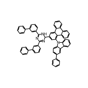 c1ccc(-c2cccc(C3=NC(c4cc(-n5c6ccccc6c6cc(-c7ccccc7)ccc65)c5c6ccccc6c6ccccc6c5c4)NC(c4cccc(-c5ccccc5)c4)=N3)c2)cc1